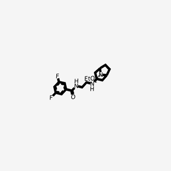 CCOC(=O)N1C2CCC1CC(NCCNC(=O)c1cc(F)cc(F)c1)C2